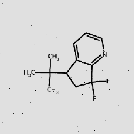 CC(C)(C)C1CC(F)(F)c2ncccc21